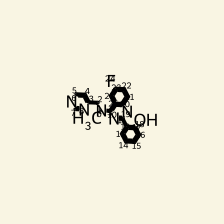 CN(Cc1ccncn1)c1nc(-c2ccccc2O)nc2ccc(F)cc12